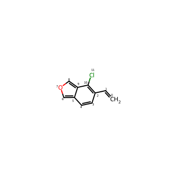 C=Cc1ccc2cocc2c1Cl